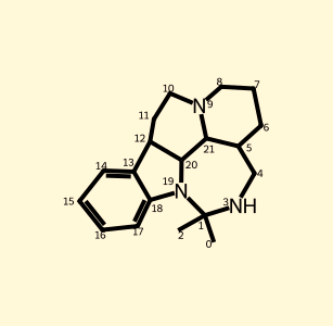 CC1(C)NCC2CCCN3CCC4c5ccccc5N1C4C23